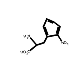 NC(Cc1ccccc1[N+](=O)[O-])C(=O)O